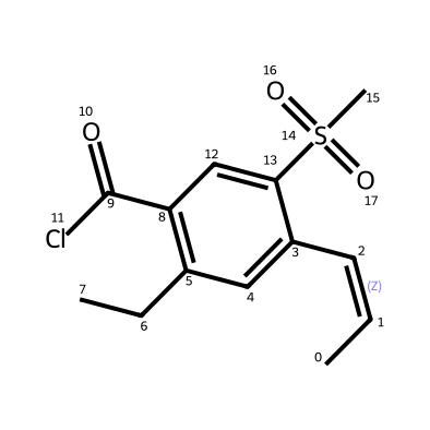 C/C=C\c1cc(CC)c(C(=O)Cl)cc1S(C)(=O)=O